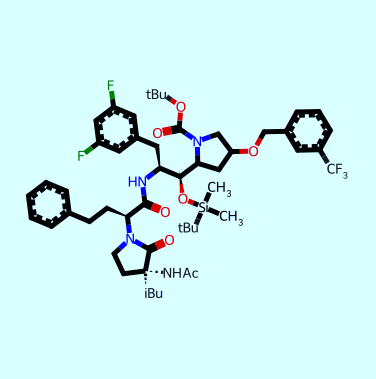 CC[C@@H](C)[C@@]1(NC(C)=O)CCN([C@@H](CCc2ccccc2)C(=O)N[C@@H](Cc2cc(F)cc(F)c2)[C@H](O[Si](C)(C)C(C)(C)C)C2CC(OCc3cccc(C(F)(F)F)c3)CN2C(=O)OC(C)(C)C)C1=O